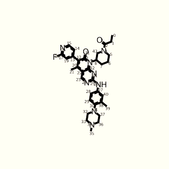 CCC(=O)N1CCCC(n2c(=O)c(-c3ccnc(F)c3)c(C)c3cnc(Nc4ccc(N5CCN(C)CC5)c(C)c4)nc32)C1